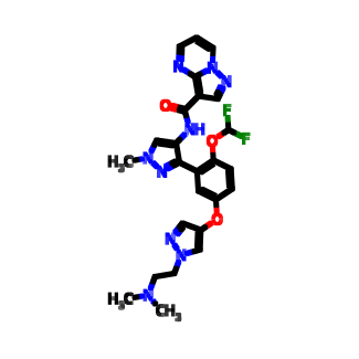 CN(C)CCn1cc(Oc2ccc(OC(F)F)c(-c3nn(C)cc3NC(=O)c3cnn4cccnc34)c2)cn1